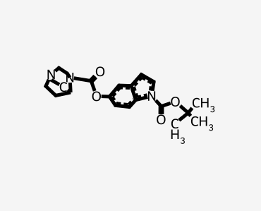 CC(C)(C)OC(=O)n1ccc2cc(OC(=O)N3CCN4CCC3CC4)ccc21